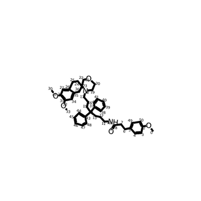 COc1ccc(CCC(=O)NCCCC(CCCN2CCOCC23CCc2cc(OC)c(OC)cc2C3)(c2ccccc2)c2ccccc2)cc1